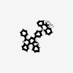 CC1(C)c2ccccc2N(c2ccc(-c3cc4c(-c5ccccc5)nc5ccccc5c4c4c3sc3ccccc34)cc2)c2ccccc21